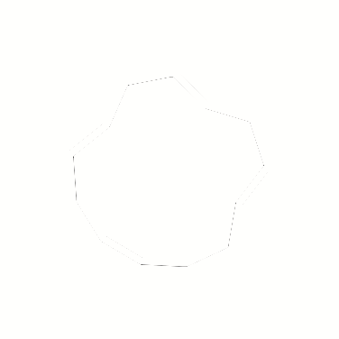 [C]1=C/C/C=C/C/C=C/C/C=C\CC/1